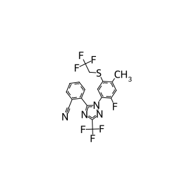 Cc1cc(F)c(-n2nc(C(F)(F)F)nc2-c2ccccc2C#N)cc1SCC(F)(F)F